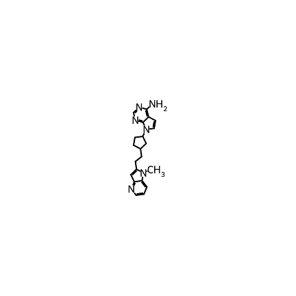 Cn1c(CCC2CCC(n3ccc4c(N)ncnc43)C2)cc2ncccc21